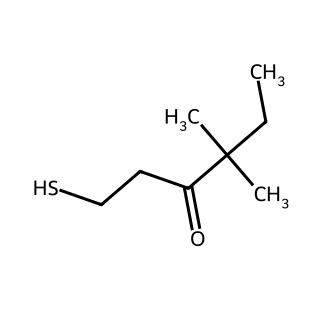 CCC(C)(C)C(=O)CCS